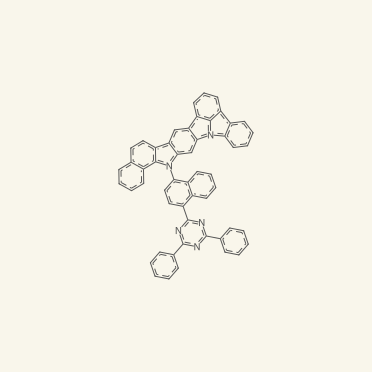 c1ccc(-c2nc(-c3ccccc3)nc(-c3ccc(-n4c5cc6c(cc5c5ccc7ccccc7c54)c4cccc5c7ccccc7n6c54)c4ccccc34)n2)cc1